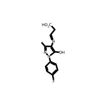 Cc1nn(-c2ccc(F)cc2)c(O)c1/N=C/CC(=O)O